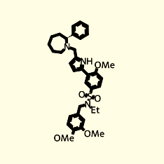 CCN(Cc1ccc(OC)c(OC)c1)S(=O)(=O)c1ccc(OC)c(-c2ccc(CN3CCCCC[C@@H]3c3ccccc3)[nH]2)c1